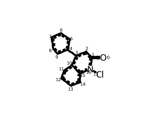 O=c1cc(-c2ccccc2)c2ccccc2n1Cl